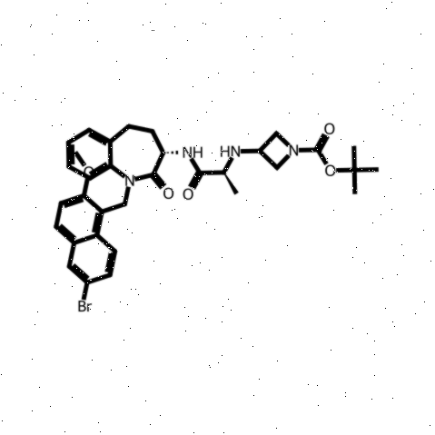 COc1ccc2cc(Br)ccc2c1CN1C(=O)[C@@H](NC(=O)[C@H](C)NC2CN(C(=O)OC(C)(C)C)C2)CCc2ccccc21